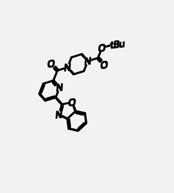 CC(C)(C)OC(=O)N1CCN(C(=O)c2cccc(-c3nc4ccccc4o3)n2)CC1